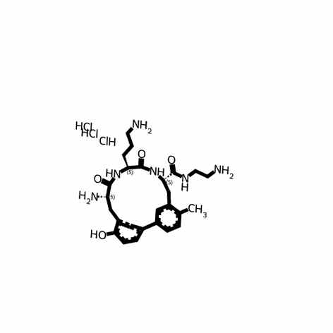 Cc1ccc2cc1C[C@@H](C(=O)NCCN)NC(=O)[C@H](CCCN)NC(=O)[C@@H](N)Cc1cc-2ccc1O.Cl.Cl.Cl